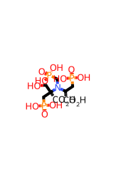 O=C(O)C(CP(=O)(O)O)N(CP(=O)(O)O)C(CO)(CP(=O)(O)O)C(=O)O